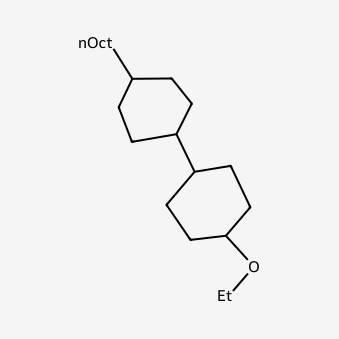 CCCCCCCCC1CCC(C2CCC(OCC)CC2)CC1